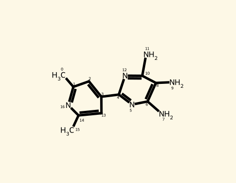 Cc1cc(-c2nc(N)c(N)c(N)n2)cc(C)n1